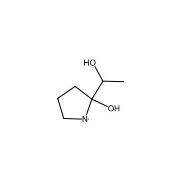 CC(O)C1(O)CCC[N]1